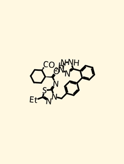 CCc1nn(Cc2ccc(-c3ccccc3-c3nnn[nH]3)cc2)c(=NC(=O)[C@H]2CCCC[C@H]2C(=O)O)s1